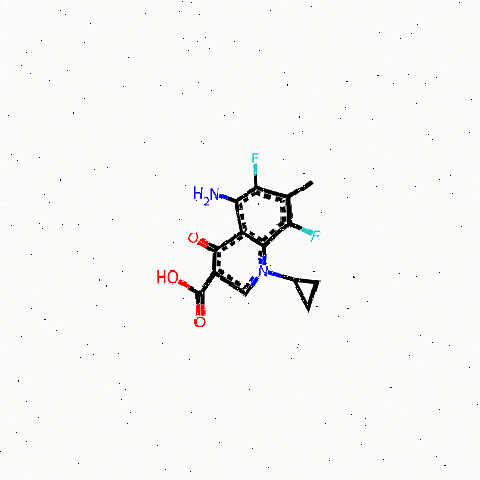 Cc1c(F)c(N)c2c(=O)c(C(=O)O)cn(C3CC3)c2c1F